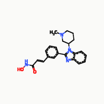 CN1CCCC(n2c(-c3cccc(/C=C/C(=O)NO)c3)nc3ccccc32)C1